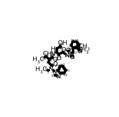 CCN(C(=O)CC(C(=O)NC(CC(=O)O)C(=O)CNS(=O)(=O)CC12CCC(CC1=O)C2(C)C)C(C)C)n1cnc2ccccc21